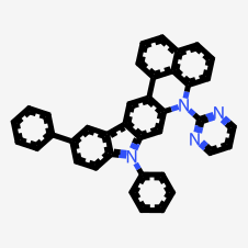 c1ccc(-c2ccc3c(c2)c2cc4c(cc2n3-c2ccccc2)N(c2ncccn2)c2cccc3cccc-4c23)cc1